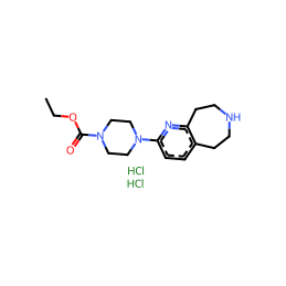 CCOC(=O)N1CCN(c2ccc3c(n2)CCNCC3)CC1.Cl.Cl